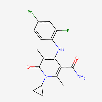 Cc1c(Nc2ccc(Br)cc2F)c(C(N)=O)c(C)n(C2CC2)c1=O